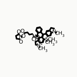 CN(CCCC(=O)ON1C(=O)CCC1=O)C(=O)c1ccccc1C1=c2cc3c(cc2S(C)(C)c2cc4c(cc21)CCN4C)=[N+](C)CC3